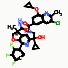 Cc1nc2c(OC3CC3)cc(C(=O)NCC(O)(c3cc4c(c(-c5ccc(F)c(F)c5F)n3)OC[C@]4(C)C(N)=O)C3CC3)cc2cc1Cl